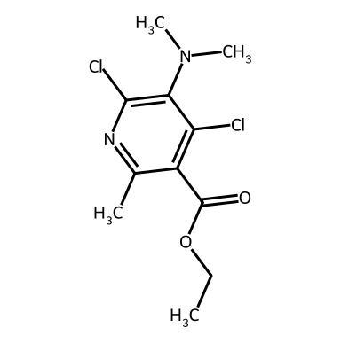 CCOC(=O)c1c(C)nc(Cl)c(N(C)C)c1Cl